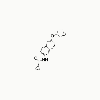 O=C(Nc1cc2ccc(O[C@H]3CCOC3)cc2cn1)C1CC1